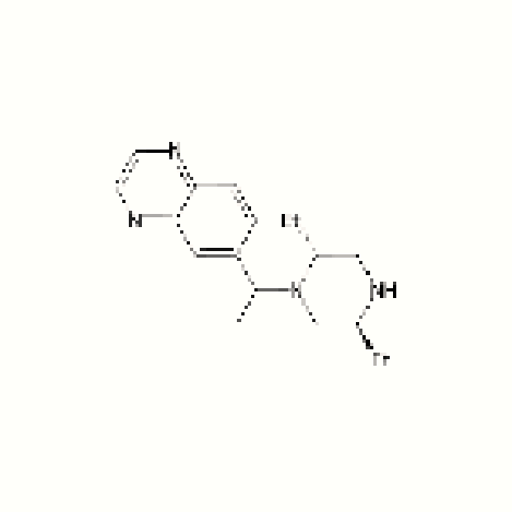 CC[C@H]1CN(C(C)c2ccc3nccnc3c2)[C@H](CC)CN1